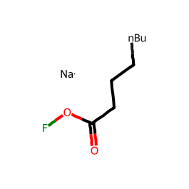 CCCCCCCC(=O)OF.[Na]